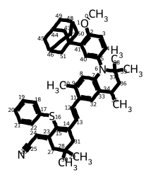 COc1ccc(N2c3cc(C)c(C=CC4=C(Sc5ccccc5)C(=CC#N)CC(C)(C)C4)cc3C(C)CC2(C)C)cc1C12CC3CC(CC(C3)C1)C2